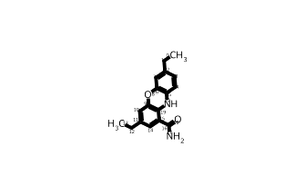 CCc1ccc2c(c1)Oc1cc(CC)cc(C(N)=O)c1N2